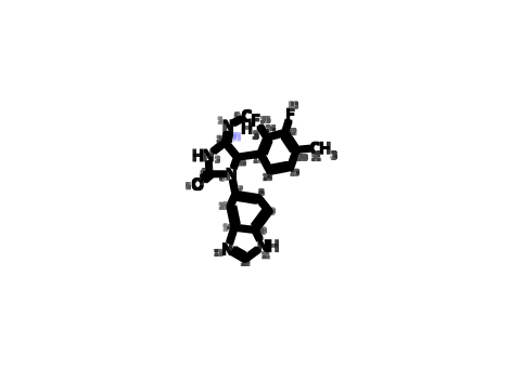 C/N=C1/NC(=O)N(c2ccc3[nH]cnc3c2)C1c1ccc(C)c(F)c1F